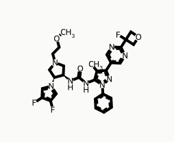 COCCN1C[C@@H](n2cc(F)c(F)c2)[C@H](NC(=O)Nc2c(C)c(-c3cnc(C4(F)COC4)nc3)nn2-c2ccccc2)C1